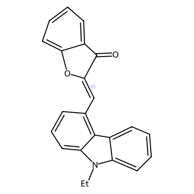 CCn1c2ccccc2c2c(/C=C3\Oc4ccccc4C3=O)cccc21